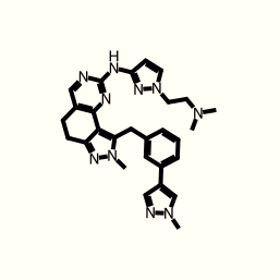 CN(C)CCn1ccc(Nc2ncc3c(n2)-c2c(nn(C)c2Cc2cccc(-c4cnn(C)c4)c2)CC3)n1